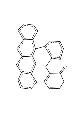 S=C1CC=CC=C1Cc1ccccc1-c1c2ccccc2cc2cc3ccccc3cc12